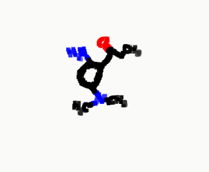 CCC(=O)c1cc(N(C)C)ccc1N